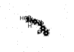 COCc1cc(-c2cc(-c3ccc(C(C)NC(C)C(=O)O)nc3)no2)ccc1-c1ccccc1C